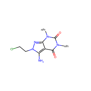 CCCn1c(=O)c2c(N)n(CCCl)nc2n(CCC)c1=O